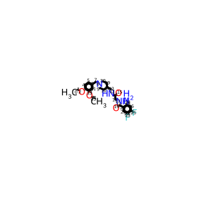 CCOc1ccc(CN2CCC(CNC(=O)CNC(=O)c3cc(F)c(F)cc3N)CC2)cc1OCC